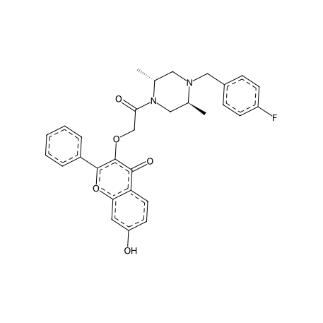 C[C@@H]1CN(Cc2ccc(F)cc2)[C@@H](C)CN1C(=O)COc1c(-c2ccccc2)oc2cc(O)ccc2c1=O